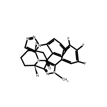 Cn1nc2c(c1-c1cc(F)c(F)c(F)c1)C[C@H]1CCC[C@@H]2N1C(=O)c1ccccc1-n1ccnn1